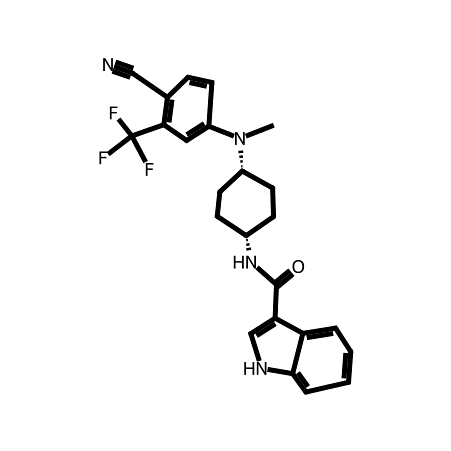 CN(c1ccc(C#N)c(C(F)(F)F)c1)[C@H]1CC[C@@H](NC(=O)c2c[nH]c3ccccc23)CC1